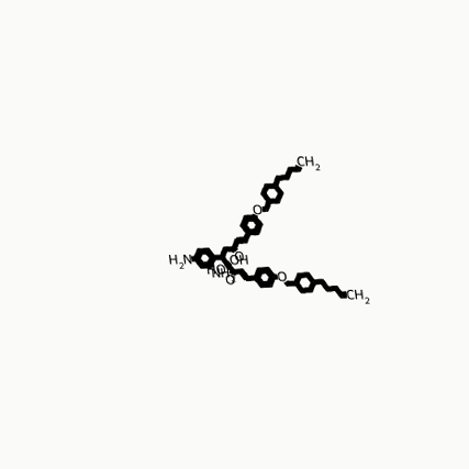 C=CCCCC1CCC(COc2ccc(/C=C/C(=O)CC(c3ccc(N)cc3N)C(O)(O)C(=O)/C=C/c3ccc(OCC4CCC(CCCC=C)CC4)cc3)cc2)CC1